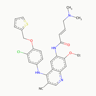 CCOc1cc2ncc(C#N)c(Nc3ccc(OCc4cccs4)c(Cl)c3)c2cc1NC(=O)C=CCN(C)C